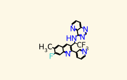 Cc1cc2cc([C@@H](Nc3ncnc4cccnc34)C(F)(F)F)c(-c3cccnc3)nc2cc1F